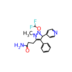 CN1C(CCC(N)=O)=C(c2ccccc2)C(c2ccncc2)N1OC(F)F